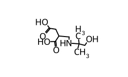 CC(C)(CO)NCC(CC(=O)O)C(=O)O